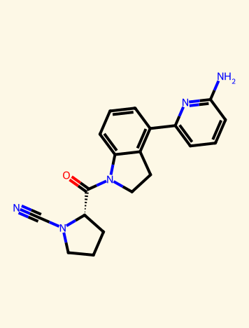 N#CN1CCC[C@H]1C(=O)N1CCc2c(-c3cccc(N)n3)cccc21